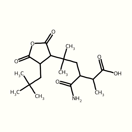 CC(C(=O)O)C(CC(C)(C)C1C(=O)OC(=O)C1CC(C)(C)C)C(N)=O